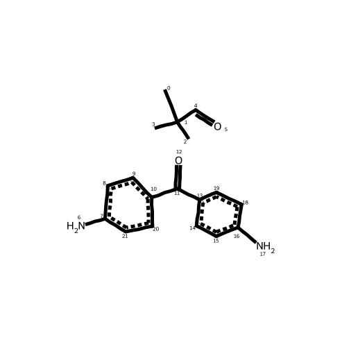 CC(C)(C)C=O.Nc1ccc(C(=O)c2ccc(N)cc2)cc1